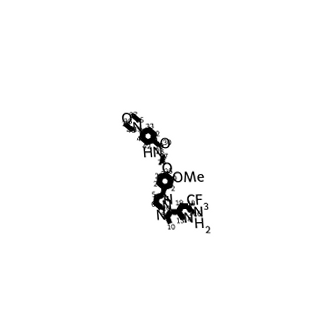 COc1cc(-c2ccc3nc(C)c(-c4cnc(N)c(C(F)(F)F)c4)n3n2)ccc1OCCNC(=O)c1ccc(N2CCOCC2)cc1